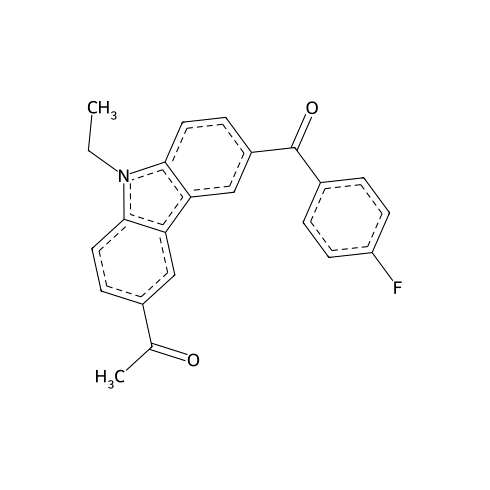 CCn1c2ccc(C(C)=O)cc2c2cc(C(=O)c3ccc(F)cc3)ccc21